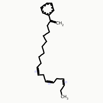 C=C(CCCCCCCC/C=C\C/C=C\C/C=C\CC)c1ccccc1